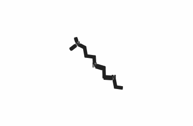 CCN=CC=NCCCN(C)C